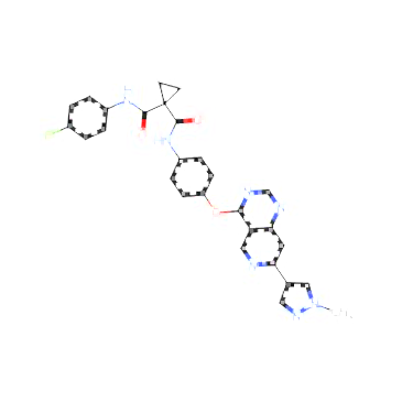 Cn1cc(-c2cc3ncnc(Oc4ccc(NC(=O)C5(C(=O)Nc6ccc(F)cc6)CC5)cc4)c3cn2)cn1